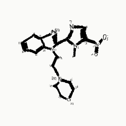 Cn1c([N+](=O)[O-])cnc1-c1nc2ccccc2n1CCN1CCOCC1